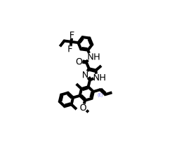 C/C=C/c1cc(OC)c(-c2ccccc2C)c(C)c1-c1nc(C(=O)Nc2cccc(C(F)(F)CC)c2)c(C)[nH]1